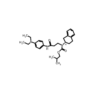 CCN(CC)c1ccc(NC(=O)CCN(C(=O)OCC(C)C)[C@@H]2CCc3ccccc3C2)cc1